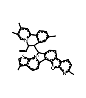 C=CC1C(C2c3ccc4c(oc5nc(C)ccc54)c3-c3ccc4c(C)csc4[n+]32)c2cc(C)ccc2-c2cc(C)c(C)c[n+]21